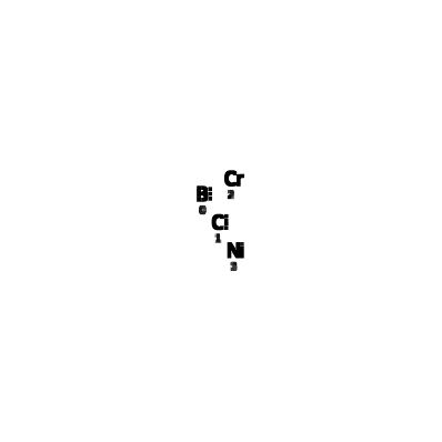 [B].[C].[Cr].[Ni]